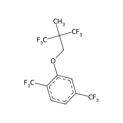 CC(COc1cc(C(F)(F)F)ccc1C(F)(F)F)(C(F)(F)F)C(F)(F)F